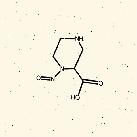 O=NN1CCNCC1C(=O)O